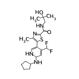 Cc1nc(C(=O)NCC(C)(C)O)sc1C1=CNC(NC2CCCC2)C=C1C(F)F